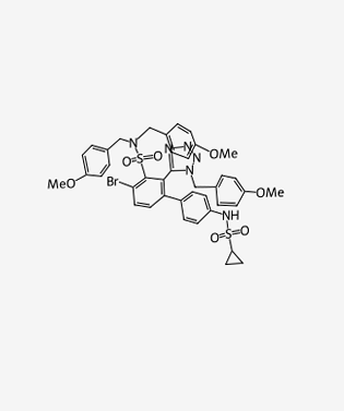 COc1ccc(CN(Cc2ccc(OC)cc2)S(=O)(=O)c2c(Br)ccc(-c3ccc(NS(=O)(=O)C4CC4)cc3)c2-c2nnnn2Cc2ccc(OC)cc2)cc1